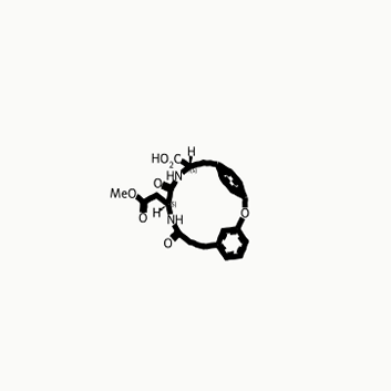 COC(=O)C[C@@H]1NC(=O)CCc2cccc(c2)Oc2ccc(cc2)C[C@@H](C(=O)O)NC1=O